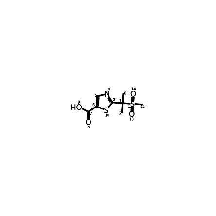 CC(C)(c1ncc(C(=O)O)s1)S(C)(=O)=O